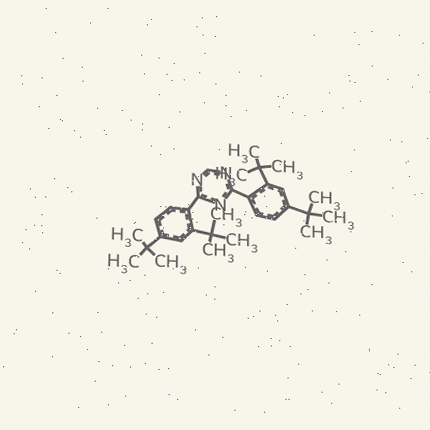 CC(C)(C)c1ccc(-c2ncnc(-c3ccc(C(C)(C)C)cc3C(C)(C)C)n2)c(C(C)(C)C)c1